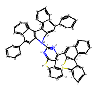 c1ccc(-c2cc3c(c4ccccc24)c2c4ccccc4c(-c4ccccc4)cc2n3-c2nc(-c3cc4ccccc4c4c3sc3ccccc34)c3c(n2)sc2ccccc23)cc1